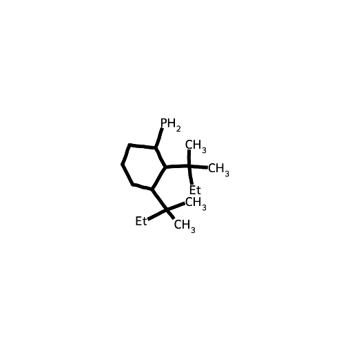 CCC(C)(C)C1CCCC(P)C1C(C)(C)CC